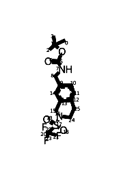 CC(C)(C)OC(=O)NCc1ccc2c(c1)CN(S(=O)(=O)C(F)(F)F)CC2